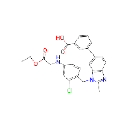 CCOC(=O)CNc1ccc(Cn2c(C)nc3ccc(-c4cccc(C(=O)O)c4)cc32)c(Cl)c1